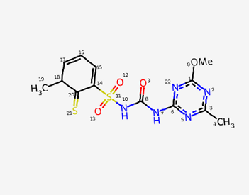 COc1nc(C)nc(NC(=O)NS(=O)(=O)C2=CC=CC(C)C2=S)n1